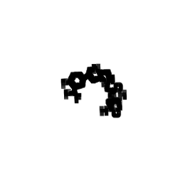 O=C(Cn1ncc2ncc(-c3ccc(F)c(C(F)F)c3)cc21)N1C[C@H]2C[C@@H]1CO2